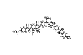 C#CC[C@H](NC(=O)c1ccc(C(=O)Nc2ccc(C#N)cc2)cc1)C(=O)Nc1ccc(C(=O)Nc2ccc(C(=O)Nc3ccc(C(=O)O)cc3)c(O)c2OC(C)C)cc1